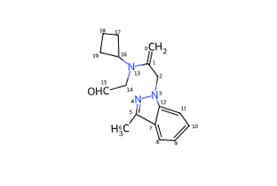 C=C(Cn1nc(C)c2ccccc21)N(CC=O)C1CCC1